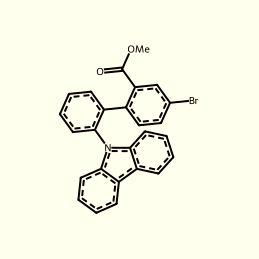 COC(=O)c1cc(Br)ccc1-c1ccccc1-n1c2ccccc2c2ccccc21